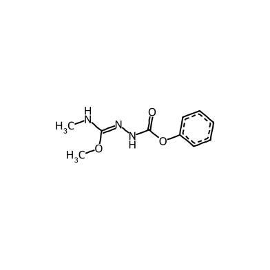 CNC(=NNC(=O)Oc1ccccc1)OC